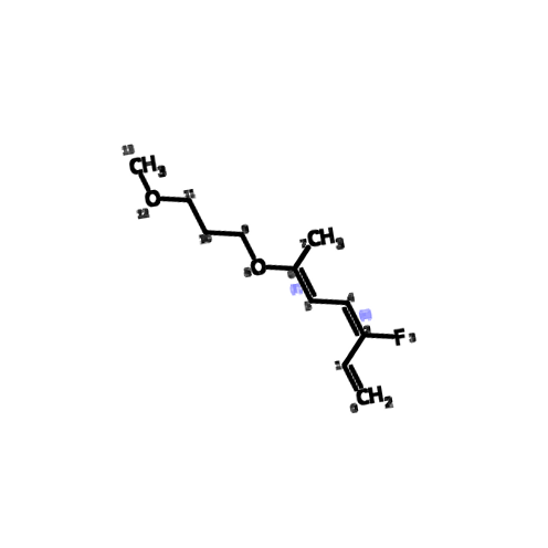 C=C/C(F)=C\C=C(/C)OCCCOC